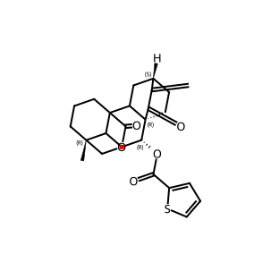 C=C1C(=O)[C@]23CC[C@H]1CC2C12CCC[C@@](C)(COC1=O)C2C[C@H]3OC(=O)c1cccs1